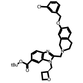 CC(C)(C)OC(=O)c1ccc2nc(CN3CCc4ccc(OCc5cccc(Cl)c5)cc4C3)n(C[C@@H]3CCO3)c2c1